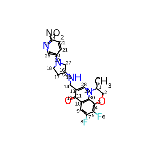 CC1COc2c(F)c(F)cc3c(=O)c(CN[C@H]4CCN(c5ccc([N+](=O)[O-])nc5)C4)cn1c23